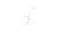 NCCCC[C@H](N)C(=O)OB(O)O